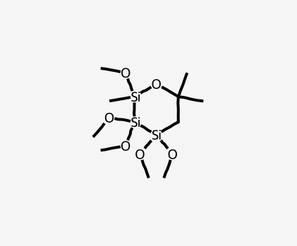 CO[Si]1(C)OC(C)(C)C[Si](OC)(OC)[Si]1(OC)OC